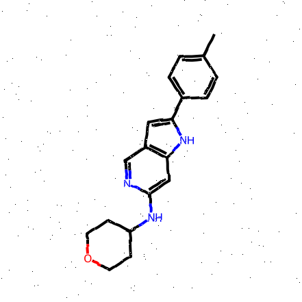 Cc1ccc(-c2cc3cnc(NC4CCOCC4)cc3[nH]2)cc1